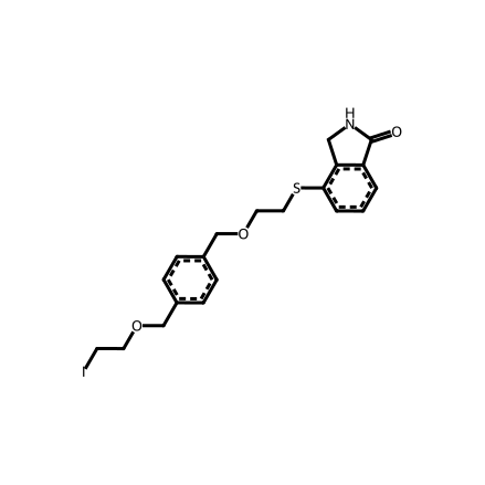 O=C1NCc2c(SCCOCc3ccc(COCCI)cc3)cccc21